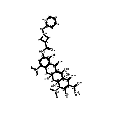 CN(C)c1cc(NC(=O)C2CN(Cc3ccccn3)C2)c(O)c2c1C[C@H]1C[C@H]3[C@H](N(C)C)C(O)=C(C(N)=O)C(=O)[C@@]3(O)C(O)=C1C2=O